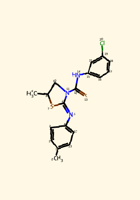 Cc1ccc(N=C2SC(C)CN2C(=S)Nc2cccc(Cl)c2)cc1